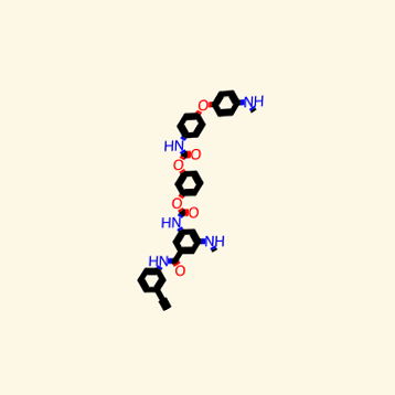 C#Cc1cccc(NC(=O)c2cc(NC)cc(NC(=O)Oc3cccc(OC(=O)Nc4ccc(Oc5ccc(NC)cc5)cc4)c3)c2)c1